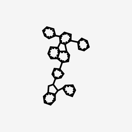 c1ccc(-c2ccc(-c3ccccc3)c3c2-c2cccc4c(-c5ccc(C6Cc7ccccc7C6c6ccccc6)cc5)ccc-3c24)cc1